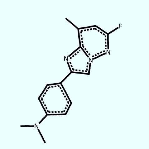 Cc1cc(F)nn2cc(-c3ccc(N(C)C)cc3)nc12